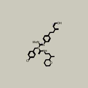 C=C(/C=C\O)CCc1ccc(/N=C(\NC)N(Cc2ccc(Cl)cc2)C(=C)NCCC(C)C2CCCCO2)cc1